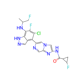 CC(CF)Nc1c(F)c(Cl)c(-c2cn3cc(NC(=O)C4CC4F)nc3cn2)c2cn[nH]c12